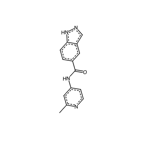 Cc1cc(NC(=O)c2ccc3[nH]ncc3c2)ccn1